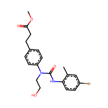 COC(=O)CCc1ccc(N(CCO)C(=O)Nc2ccc(Br)cc2C)cc1